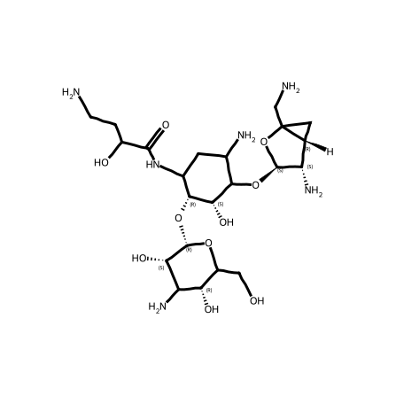 NCCC(O)C(=O)NC1CC(N)C(O[C@H]2OC3(CN)C[C@@H]3[C@@H]2N)[C@H](O)[C@@H]1O[C@@H]1OC(CO)[C@H](O)C(N)[C@@H]1O